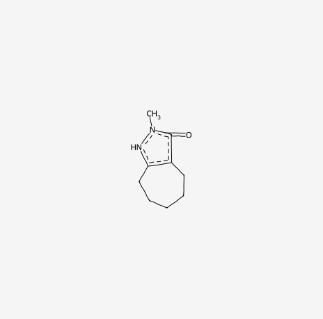 Cn1[nH]c2c(c1=O)CCCCC2